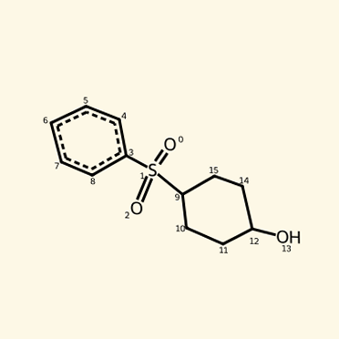 O=S(=O)(c1ccccc1)C1CCC(O)CC1